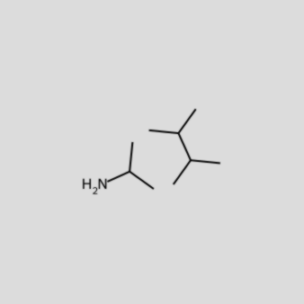 CC(C)C(C)C.CC(C)N